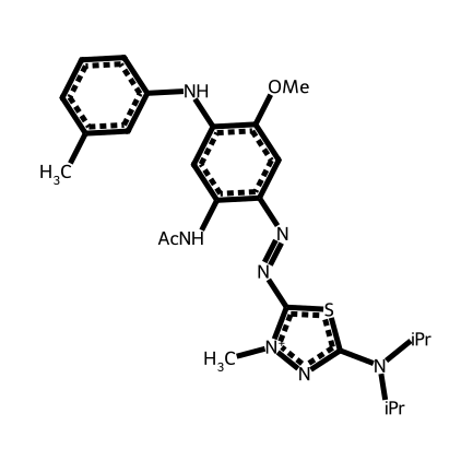 COc1cc(N=Nc2sc(N(C(C)C)C(C)C)n[n+]2C)c(NC(C)=O)cc1Nc1cccc(C)c1